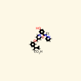 CCN(C(=O)c1ccc(O)cc1N1CCC(COc2cccc(C(CC(=O)O)C3CC3)c2)CC1)c1ccccn1